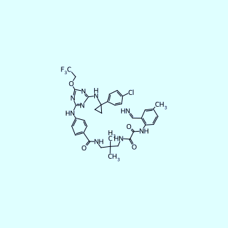 Cc1ccc(NC(=O)C(=O)NCC(C)(C)CNC(=O)c2ccc(Nc3nc(NC4(c5ccc(Cl)cc5)CC4)nc(OCC(F)(F)F)n3)cc2)c(C=N)c1